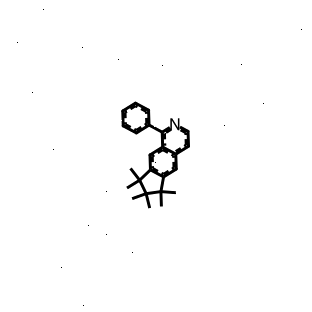 CC1(C)c2cc3ccnc(-c4ccccc4)c3cc2C(C)(C)C1(C)C